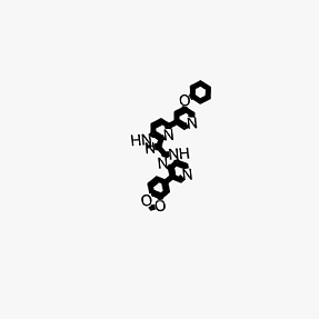 c1ncc(-c2ccc3[nH]nc(-c4nc5c(-c6ccc7c(c6)OCO7)cncc5[nH]4)c3n2)cc1OC1CCCCC1